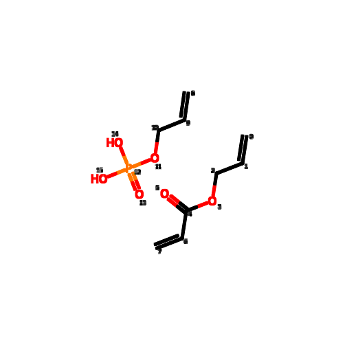 C=CCOC(=O)C=C.C=CCOP(=O)(O)O